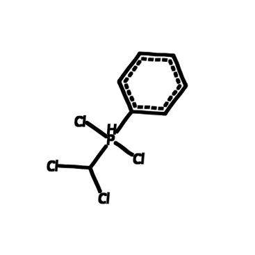 ClC(Cl)[PH](Cl)(Cl)c1ccccc1